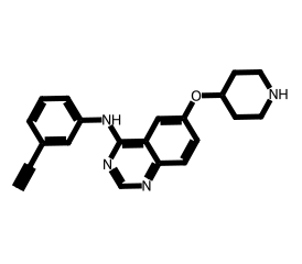 C#Cc1cccc(Nc2ncnc3ccc(OC4CCNCC4)cc23)c1